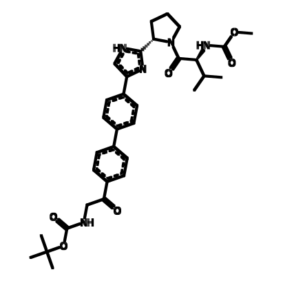 COC(=O)N[C@H](C(=O)N1CCC[C@H]1c1nc(-c2ccc(-c3ccc(C(=O)CNC(=O)OC(C)(C)C)cc3)cc2)c[nH]1)C(C)C